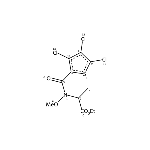 CCOC(=O)C(C)N(OC)C(=O)c1sc(Cl)c(Cl)c1Cl